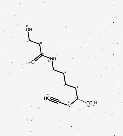 C#CN[C@H](CCCCNC(=O)CCO)C(=O)O